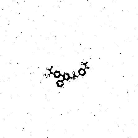 CC(=O)N(C)[C@H]1CC[C@H](CC(=O)Nc2cnc(-c3ccc([C@H](N)C(F)F)cc3)c(-c3ccccc3)c2)CC1